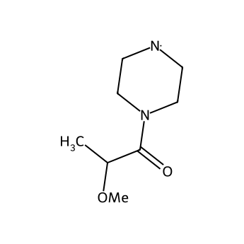 COC(C)C(=O)N1CC[N]CC1